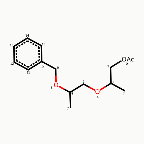 CC(=O)OCC(C)OCC(C)OCc1ccccc1